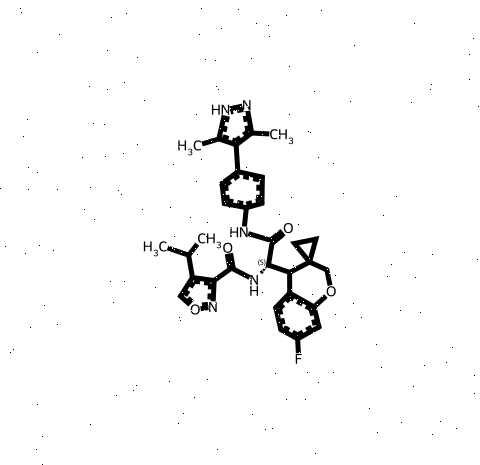 Cc1n[nH]c(C)c1-c1ccc(NC(=O)[C@@H](NC(=O)c2nocc2C(C)C)C2c3ccc(F)cc3OCC23CC3)cc1